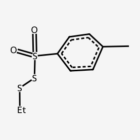 CCSSS(=O)(=O)c1ccc(C)cc1